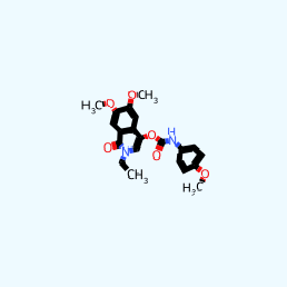 CCn1cc(OC(=O)Nc2ccc(OC)cc2)c2cc(OC)c(OC)cc2c1=O